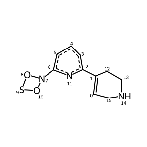 C1=C(c2cccc(N3OSO3)n2)CCNC1